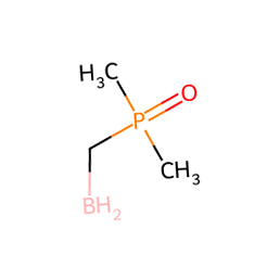 BCP(C)(C)=O